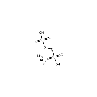 Br.N.N.O=S(=O)(O)OOS(=O)(=O)O